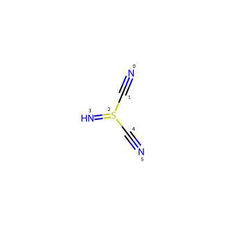 N#CS(=N)C#N